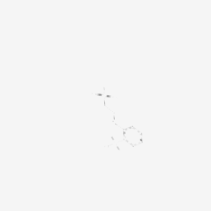 O=S(=O)(O)CCNc1cc[c]cc1S(=O)(=O)O